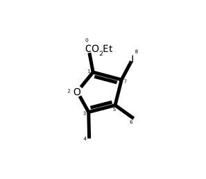 CCOC(=O)c1oc(C)c(C)c1I